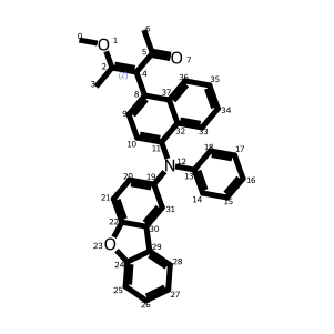 CO/C(C)=C(\C(C)=O)c1ccc(N(c2ccccc2)c2ccc3oc4ccccc4c3c2)c2ccccc12